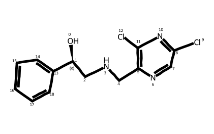 O[C@@H](CNCc1ncc(Cl)nc1Cl)c1ccccc1